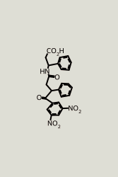 O=C(O)CC(NC(=O)CC(C(=O)c1cc([N+](=O)[O-])cc([N+](=O)[O-])c1)c1ccccc1)c1ccccc1